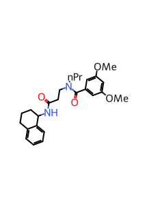 CCCN(CCC(=O)NC1CCCc2ccccc21)C(=O)c1cc(OC)cc(OC)c1